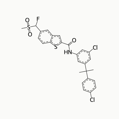 CC(C)(c1ccc(Cl)cc1)c1cc(Cl)cc(NC(=O)c2cc3cc(C(F)S(C)(=O)=O)ccc3s2)c1